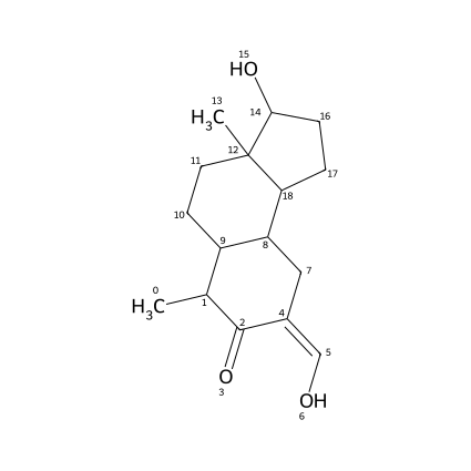 CC1C(=O)C(=CO)CC2C1CCC1(C)C(O)CCC21